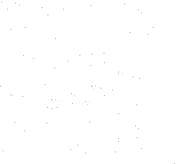 C=C(C)COC(CC)C[Si](OC)(OC)OC